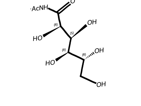 CC(=O)[N]C(=O)[C@H](O)[C@@H](O)[C@H](O)[C@H](O)CO